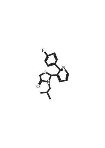 CC(C)CN1C(=O)CSC1c1cccnc1-c1ccc(F)cc1